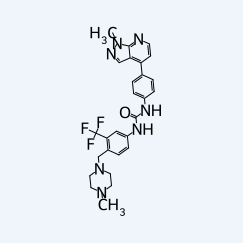 CN1CCN(Cc2ccc(NC(=O)Nc3ccc(-c4ccnc5c4cnn5C)cc3)cc2C(F)(F)F)CC1